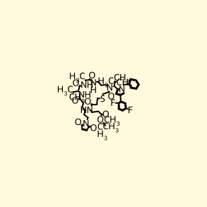 CC(C)[C@H](NC(=O)CCCCCN1C(=O)C=CC1=O)C(=O)N[C@@H](C)C(=O)NCCCN(C(=O)CSCCC(=O)NCCC(=O)OC(C)(C)C)[C@@H](c1cc(-c2cc(F)ccc2F)cn1Cc1ccccc1)C(C)(C)C